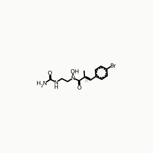 C/C(=C\c1ccc(Br)cc1)C(=O)N(O)CCNC(N)=O